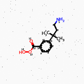 CC(C)(CCN)c1cccc(C(=O)OO)c1